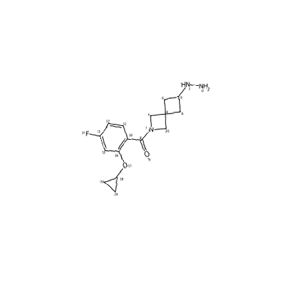 NNC1CC2(C1)CN(C(=O)c1ccc(F)cc1OC1CC1)C2